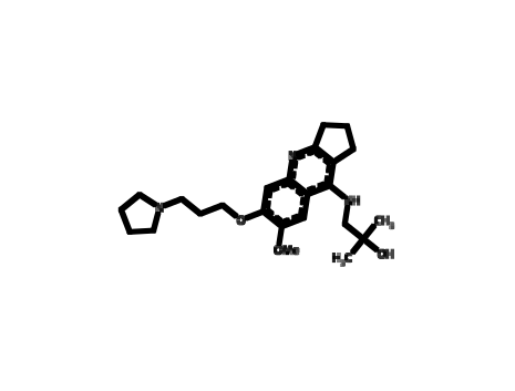 COc1cc2c(NCC(C)(C)O)c3c(nc2cc1OCCCN1CCCC1)CCC3